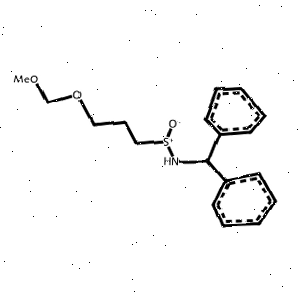 COCOCCC[S+]([O-])NC(c1ccccc1)c1ccccc1